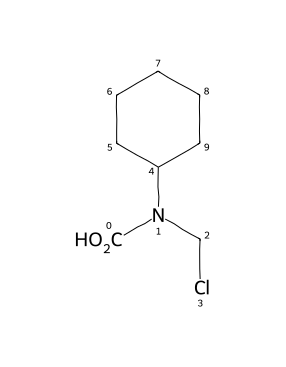 O=C(O)N(CCl)C1CCCCC1